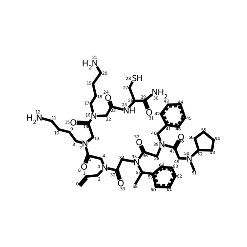 C=CCN(CC(=O)N(CCCCN)CC(=O)N(CCCCN)CC(=O)NC(CS)C(N)=O)C(=O)CN(C(=O)CN(Cc1ccccc1)C(=O)CN(C)C1CCCC1)C(C)c1ccccc1